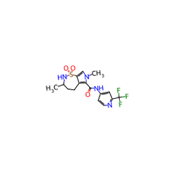 CC1CCc2c(cn(C)c2C(=O)Nc2ccnc(C(F)(F)F)c2)S(=O)(=O)N1